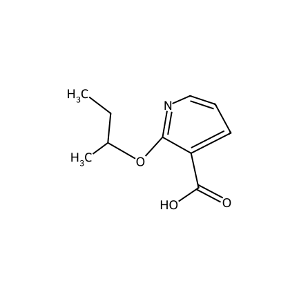 CCC(C)Oc1ncccc1C(=O)O